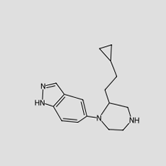 c1cc2[nH]ncc2cc1N1CCNCC1CCC1CC1